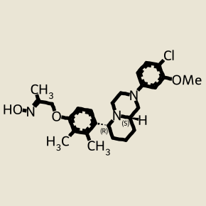 COc1cc(N2CCN3[C@@H](CCC[C@@H]3c3ccc(OCC(C)=NO)c(C)c3C)C2)ccc1Cl